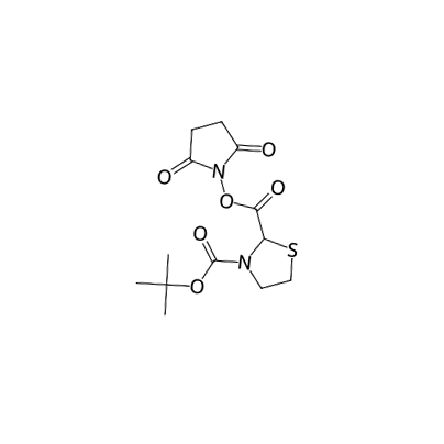 CC(C)(C)OC(=O)N1CCSC1C(=O)ON1C(=O)CCC1=O